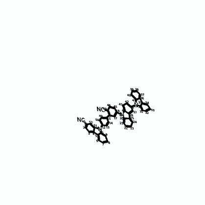 N#Cc1ccc2c3ccccc3n(-c3ccc(-c4cc(-n5c6ccccc6c6cc(-n7c8ccccc8c8ccccc87)ccc65)ccc4C#N)cc3)c2c1